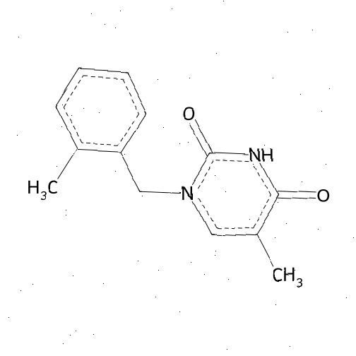 Cc1ccccc1Cn1cc(C)c(=O)[nH]c1=O